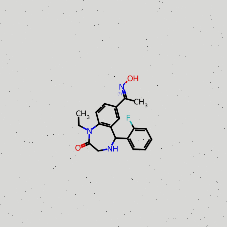 CCN1C(=O)CNC(c2ccccc2F)c2cc(/C(C)=N/O)ccc21